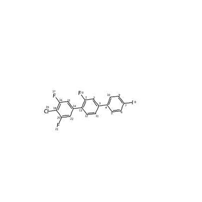 Fc1cc(-c2ccc(I)cc2)ccc1-c1cc(F)c(Cl)c(F)c1